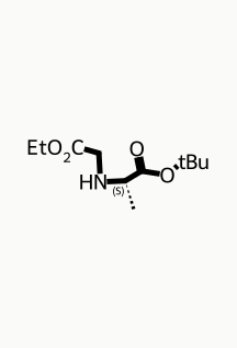 CCOC(=O)CN[C@@H](C)C(=O)OC(C)(C)C